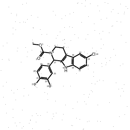 COC(=O)N1CCc2c([nH]c3ccc(Cl)cc23)C1c1ccc(F)c(F)c1